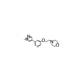 Cn1cc(-c2c[c]cc(OCCN3CCOCC3)c2)cn1